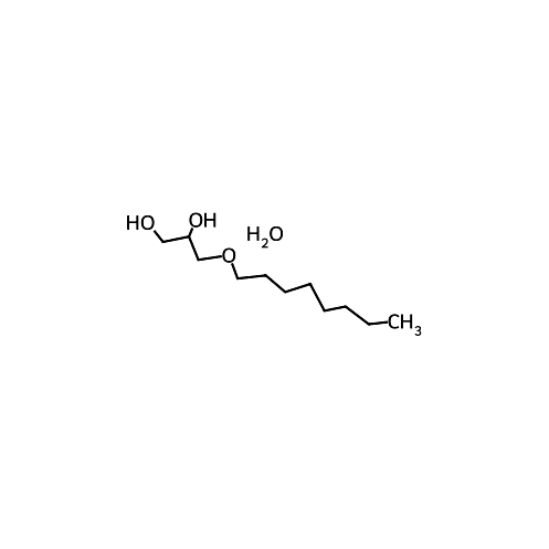 CCCCCCCCOCC(O)CO.O